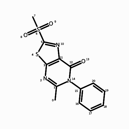 Cc1nc2sc(S(C)(=O)=O)nc2c(=O)n1-c1ccccc1